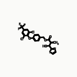 C=C(C(=O)OCc1ccc(Oc2c(Cl)cc(C(F)(F)F)cc2Cl)cc1)C(O)c1nccs1